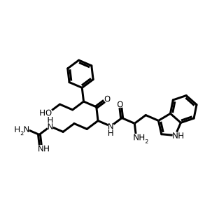 N=C(N)NCCCC(NC(=O)C(N)Cc1c[nH]c2ccccc12)C(=O)C(CCO)c1ccccc1